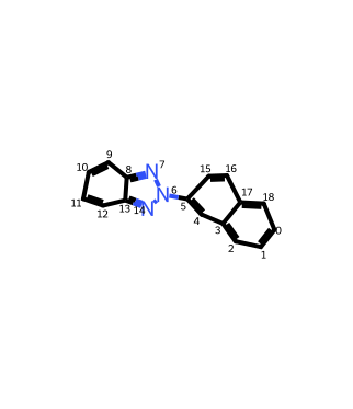 c1ccc2cc(-n3nc4ccccc4n3)ccc2c1